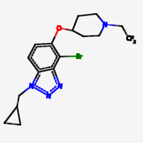 FC(F)(F)CN1CCC(Oc2ccc3c(nnn3CC3CC3)c2Br)CC1